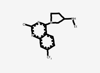 CCNC1CCN(c2nc(Cl)nc3cc(C(F)(F)F)ccc23)C1